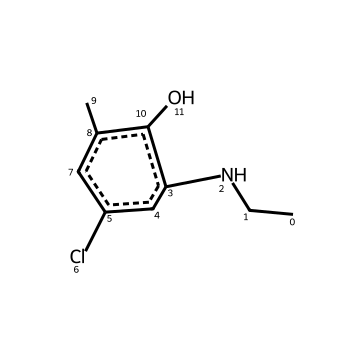 CCNc1cc(Cl)cc(C)c1O